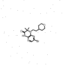 CC1(C)C(=O)Nc2ncc(Br)nc2N1CCC1CCOCC1